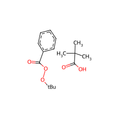 CC(C)(C)C(=O)O.CC(C)(C)OOC(=O)c1ccccc1